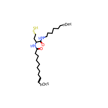 CCCCCCCC/C=C/CCCCCCCC(=O)NC(CCSS)C(=O)NCCCCCCCCCCCCCCCC